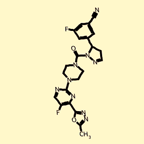 Cc1nnc(-c2nc(N3CCN(C(=O)N4N=CCC4c4cc(F)cc(C#N)c4)CC3)ncc2F)o1